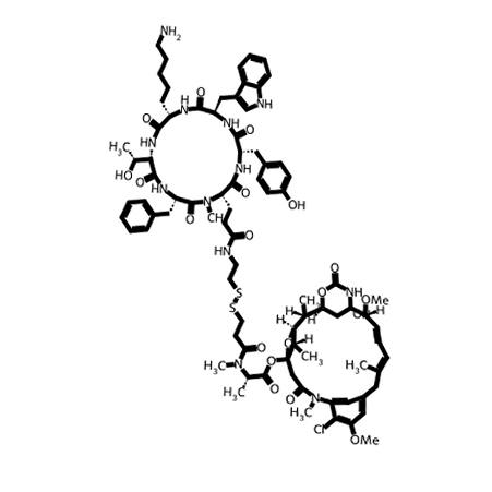 COc1cc2cc(c1Cl)N(C)C(=O)CC1(OC(=O)[C@H](C)N(C)C(=O)CCSSCCNC(=O)CC[C@H]3C(=O)N[C@@H](Cc4ccc(O)cc4)C(=O)N[C@H](Cc4c[nH]c5ccccc45)C(=O)N[C@@H](CCCCCN)C(=O)N[C@@H]([C@@H](C)O)C(=O)N[C@@H](Cc4ccccc4)C(=O)N3C)O[C@@H]([C@H](C)[C@@H]3C[C@@](O)(NC(=O)O3)[C@H](OC)/C=C/C=C(\C)C2)[C@@H]1C